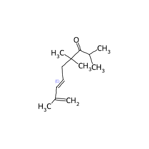 C=C(C)/C=C/CC(C)(C)C(=O)C(C)C